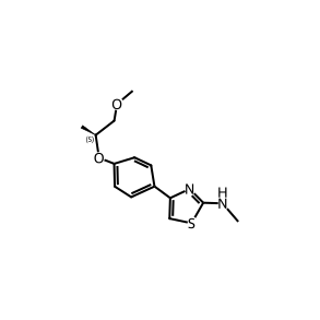 CNc1nc(-c2ccc(O[C@@H](C)COC)cc2)cs1